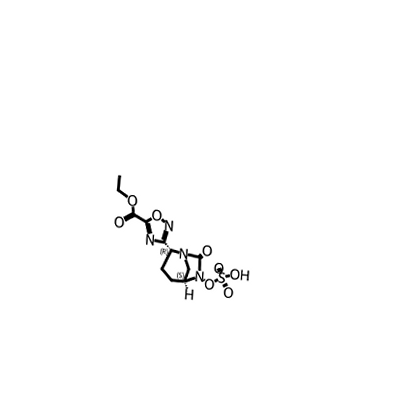 CCOC(=O)c1nc([C@H]2CC[C@H]3CN2C(=O)N3OS(=O)(=O)O)no1